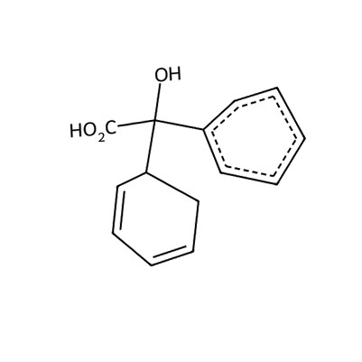 O=C(O)C(O)(c1ccccc1)C1C=CC=CC1